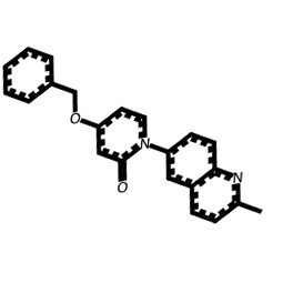 Cc1ccc2cc(-n3ccc(OCc4ccccc4)cc3=O)ccc2n1